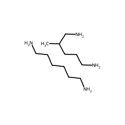 CC(CN)CCCN.NCCCCCCN